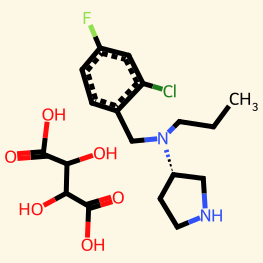 CCCN(Cc1ccc(F)cc1Cl)[C@H]1CCNC1.O=C(O)C(O)C(O)C(=O)O